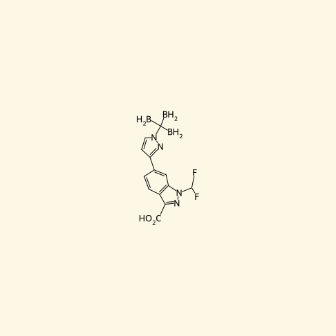 BC(B)(B)n1ccc(-c2ccc3c(C(=O)O)nn(C(F)F)c3c2)n1